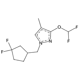 Cc1cn(CC2CCC(F)(F)C2)nc1OC(F)F